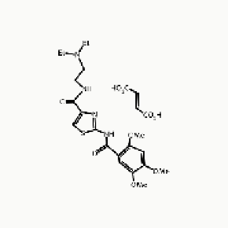 CCN(CC)CCNC(=O)c1csc(NC(=O)c2cc(OC)c(OC)cc2OC)n1.O=C(O)C=CC(=O)O